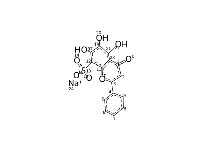 O=c1cc(-c2ccccc2)oc2c(S(=O)(=O)[O-])c(O)c(O)c(O)c12.[Na+]